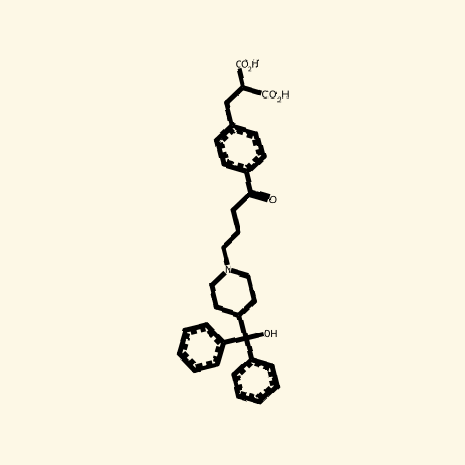 O=C(CCCN1CCC(C(O)(c2ccccc2)c2ccccc2)CC1)c1ccc(CC(C(=O)O)C(=O)O)cc1